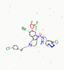 O=C(NCc1ccnc(Cl)c1)n1c2c(c3cc(Br)c(OC(F)(F)F)cc31)CN(CC=Cc1ccc(Cl)cc1)CC2